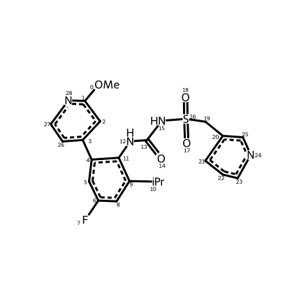 COc1cc(-c2cc(F)cc(C(C)C)c2NC(=O)NS(=O)(=O)Cc2cccnc2)ccn1